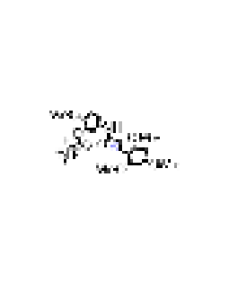 COc1cc(OC)c(/C=C/C(=O)Nc2ccc(OC)c(OC(=O)C(F)(F)N(C)C)c2)c(OC)c1